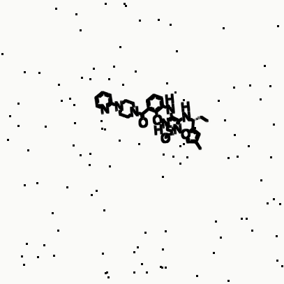 CC[C@@H](Nc1n[s+]([O-])nc1Nc1cccc(C(=O)N2CCN(c3ccccn3)CC2)c1O)c1cc(C)co1